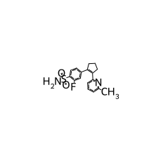 Cc1cccc(C2=C(c3ccc(S(N)(=O)=O)c(F)c3)CCC2)n1